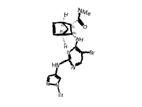 CCn1cc(Nc2ncc(Br)c(N[C@H]3[C@@H](C(=O)NC)[C@@H]4C=C[C@H]3C4)n2)cn1